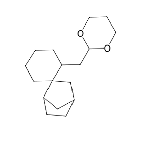 C1COC(CC2CCCCC23CC2CCC3C2)OC1